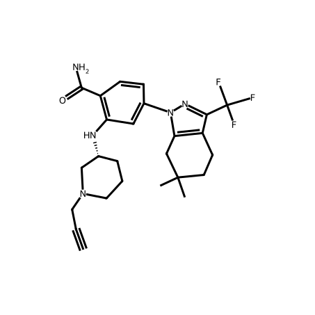 C#CCN1CCC[C@@H](Nc2cc(-n3nc(C(F)(F)F)c4c3CC(C)(C)CC4)ccc2C(N)=O)C1